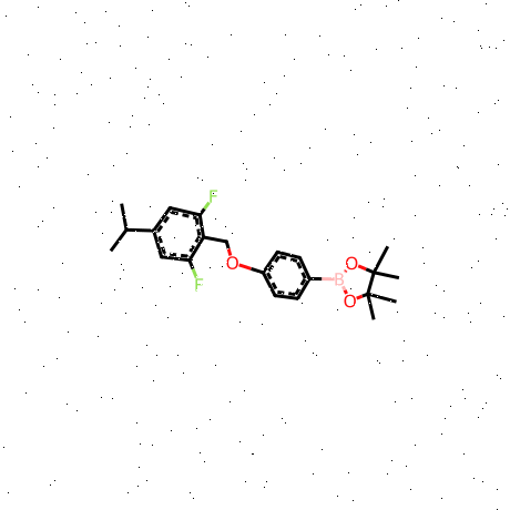 CC(C)c1cc(F)c(COc2ccc(B3OC(C)(C)C(C)(C)O3)cc2)c(F)c1